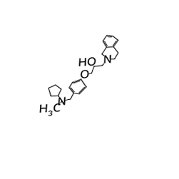 CN(Cc1ccc(OCC(O)CN2CCc3ccccc3C2)cc1)C1CCCC1